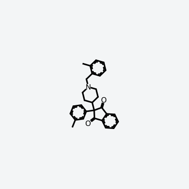 Cc1cccc(C2(C3CCN(Cc4ccccc4C)CC3)C(=O)c3ccccc3C2=O)c1